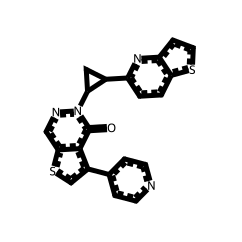 O=c1c2c(-c3ccncc3)csc2cnn1C1CC1c1ccc2sccc2n1